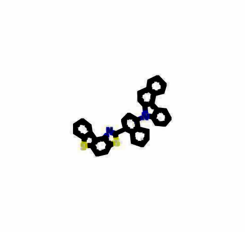 c1ccc2c(c1)ccc1c2c2ccccc2n1-c1ccc(-c2nc3c(ccc4sc5ccccc5c43)s2)c2ccccc12